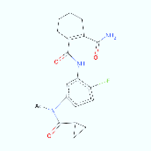 CC(=O)N1C(=O)C2(CC2)c2cc(F)c(NC(=O)C3=C(C(N)=O)CCCC3)cc21